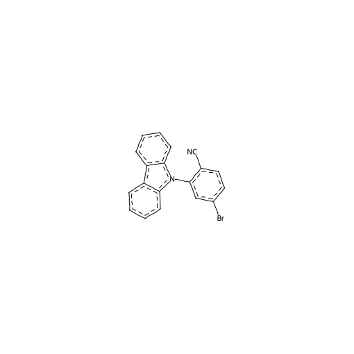 N#Cc1ccc(Br)cc1-n1c2ccccc2c2ccccc21